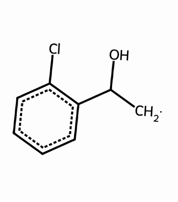 [CH2]C(O)c1ccccc1Cl